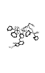 Cc1nc2ccnc(Cc3ccc(S(=O)(=O)N[C@H](CO[Si](c4ccccc4)(c4ccccc4)C(C)(C)C)CC(C)C)c(CC(C)(C)[Si](Cl)(c4ccccc4)c4ccccc4)c3)c2[nH]1